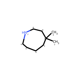 CC1(C)CCCCNCC1